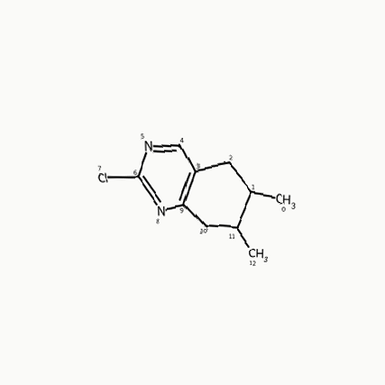 CC1Cc2cnc(Cl)nc2CC1C